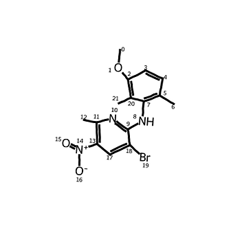 COc1ccc(C)c(Nc2nc(C)c([N+](=O)[O-])cc2Br)c1C